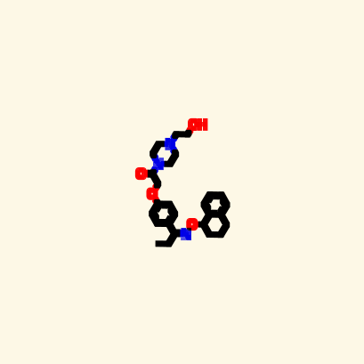 CCC(=NOC1CCCc2ccccc21)c1ccc(OCC(=O)N2CCN(CCO)CC2)cc1